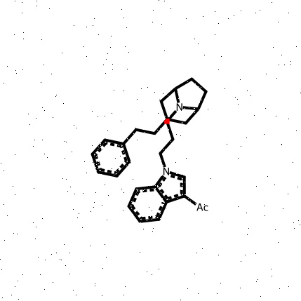 CC(=O)c1cn(CCCN2C3CCC2CC(CCc2ccccc2)C3)c2ccccc12